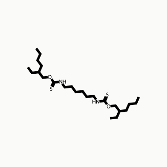 CCCCC(CC)COC(=S)NCCCCCCNC(=S)OCC(CC)CCCC